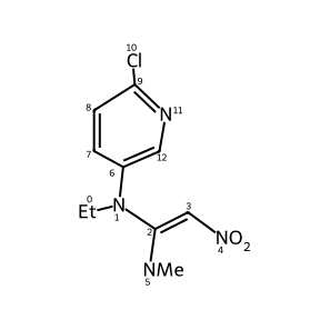 CCN(C(=C[N+](=O)[O-])NC)c1ccc(Cl)nc1